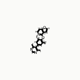 Cc1ncnc(C)c1-c1cc(F)c(Oc2nccc3occc23)c(F)c1